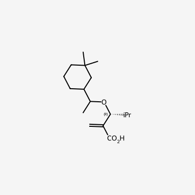 C=C(C(=O)O)[C@H](OC(C)C1CCCC(C)(C)C1)C(C)C